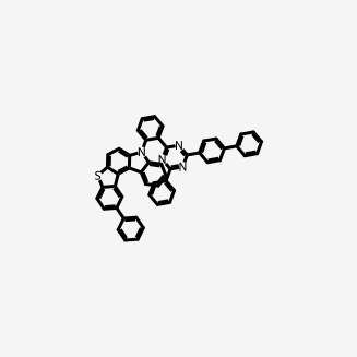 c1ccc(-c2ccc(-c3nc(-c4ccccc4)nc(-c4ccccc4-n4c5ccccc5c5c6c(ccc54)sc4ccc(-c5ccccc5)cc46)n3)cc2)cc1